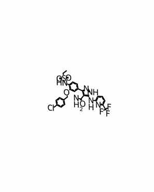 CCS(=O)(=O)Nc1ccc(-c2n[nH]c(Nc3cccc(C(F)(F)F)n3)c2C(N)=O)cc1OCc1ccc(Cl)cc1